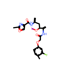 C=C(CC(OI)C(=C)NC(=O)COc1ccc(C)c(F)c1)NC(=O)c1coc(C)n1